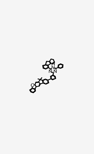 CC1(C)C2=CC3Oc4ccccc4C3C=C2c2ccc(-c3cccc(C4=NC(c5ccccc5)NC(c5cccc6c5C5=C(CCC=C5)C6)=N4)c3)cc21